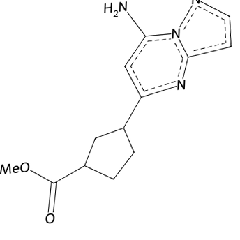 COC(=O)C1CCC(c2cc(N)n3nccc3n2)C1